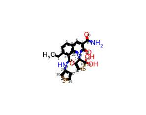 CCc1ccc2cc(C(N)=O)c(=O)n(C3C=CSC3(O)O)c2c1C(=O)Nc1ccsc1